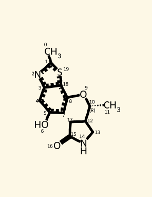 Cc1nc2cc(O)cc(O[C@H](C)C3CNC(=O)C3)c2s1